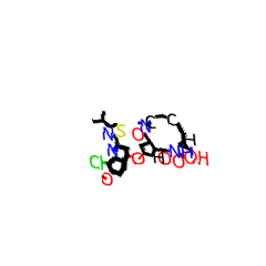 COc1ccc2c(O[C@H]3CC4C(=O)N(C)CCCC/C=C\[C@@H]5C[C@@]5(C(=O)O)NC(=O)[C@@H]4C3)cc(-c3nc(C(C)C)cs3)nc2c1Cl